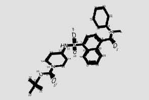 CN(C(=O)c1ccc(S(=O)(=O)NC2CCN(C(=O)OC(C)(C)C)CC2)c2ccccc12)C1CCCCC1